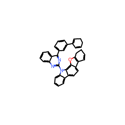 C1=CC(c2cccc(-c3nc(-n4c5ccccc5c5ccc6c7c(oc6c54)CCC=C7)nc4ccccc34)c2)=CCC1